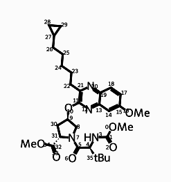 COC(=O)N[C@H](C(=O)N1C[C@H](Oc2nc3cc(OC)ccc3nc2CCCCCC2CC2)C[C@H]1C(=O)OC)C(C)(C)C